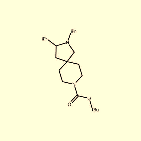 CC(C)C1CC2(CCN(C(=O)OC(C)(C)C)CC2)CN1C(C)C